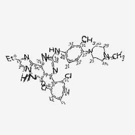 CCc1cn2[nH]c(=O)c3c(-c4c(Cl)cccc4Cl)nc(Nc4ccc(N5CCN(C)CC5)c(C)c4)nc3c2n1